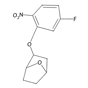 O=[N+]([O-])c1ccc(F)cc1OC1CC2CCC1O2